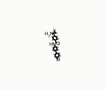 NC1(c2ccc(C(=O)Nc3ccc(-c4ccc(Cl)cc4)cc3)cc2)CC1